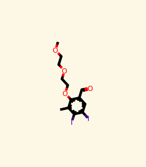 COCCOCCOc1c(C=O)cc(I)c(I)c1C